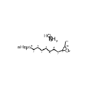 CCCCCCCCCCCCCCC1OC1C.Cl.N